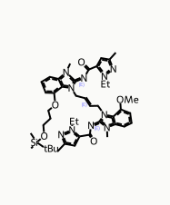 CCn1nc(C)cc1C(=O)/N=c1\n(C)c2cccc(OC)c2n1C/C=C/Cn1/c(=N/C(=O)c2cc(C)nn2CC)n(C)c2cccc(OCCCO[Si](C)(C)C(C)(C)C)c21